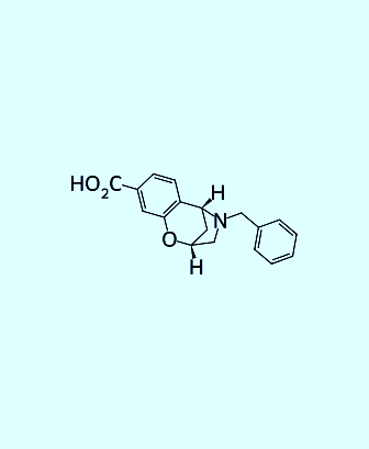 O=C(O)c1ccc2c(c1)O[C@@H]1C[C@H]2N(Cc2ccccc2)C1